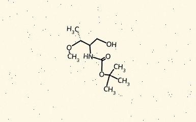 CO[C@H](C)C(CO)NC(=O)OC(C)(C)C